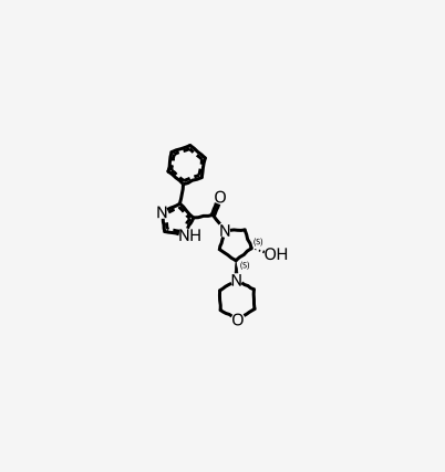 O=C(c1[nH]cnc1-c1ccccc1)N1C[C@H](O)[C@@H](N2CCOCC2)C1